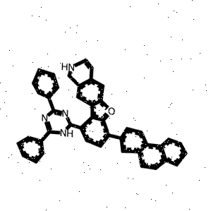 C1=Cc2cc3oc4c(-c5ccc6c(ccc7ccccc76)c5)ccc(C5N=C(c6ccccc6)N=C(c6ccccc6)N5)c4c3cc2CN1